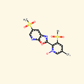 CCS(=O)(=O)c1cc(C(F)(F)F)c[n+]([O-])c1-c1nc2cc(S(C)(=O)=O)cnc2o1